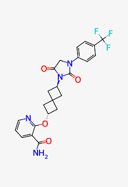 NC(=O)c1cccnc1O[C@H]1CC2(C1)C[C@H](N1C(=O)CN(c3ccc(C(F)(F)F)cc3)C1=O)C2